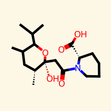 CC(C)C1O[C@@](O)(CC(=O)N2CCCC[C@H]2C(=O)O)[C@H](C)CC1C